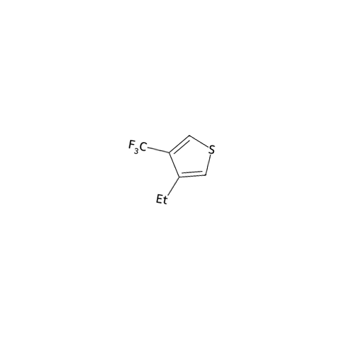 CCc1cscc1C(F)(F)F